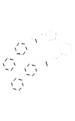 O=C(Cc1ccc(-c2ccccc2)cc1)OC1CCCC1.O=C(Cc1ccc(-c2ccccc2)cc1)OCC1CCCCC1